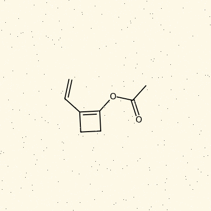 C=CC1=C(OC(C)=O)CC1